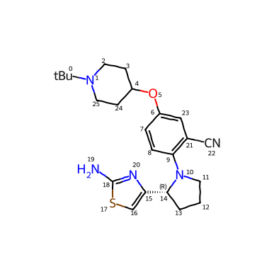 CC(C)(C)N1CCC(Oc2ccc(N3CCC[C@@H]3c3csc(N)n3)c(C#N)c2)CC1